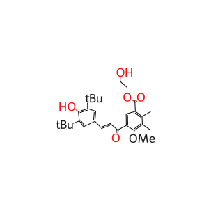 COc1c(C(=O)C=Cc2cc(C(C)(C)C)c(O)c(C(C)(C)C)c2)cc(C(=O)OCCO)c(C)c1C